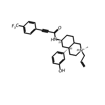 C=CC[N@@+]1(C)CC[C@@]2(c3cccc(O)c3)C[C@@H](NC(=O)C#Cc3ccc(C(F)(F)F)cc3)CCC2C1